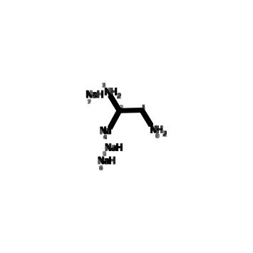 NC[CH](N)[Na].[NaH].[NaH].[NaH]